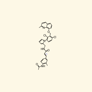 CC(=O)Nc1ccc(/C=C/C(=O)NCc2cccn2-c2ccc(Cl)c(COc3cccc4ccc(C)nc34)c2Cl)cc1C